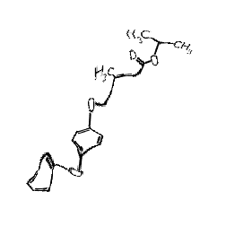 C/C(=C\C(=O)OC(C)C)COc1ccc(Oc2ccccc2)cc1